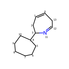 C1=CCC([C]2CCCCCC2)N=CC1